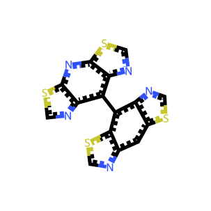 c1nc2c(-c3c4ncsc4nc4scnc34)c3scnc3cc2s1